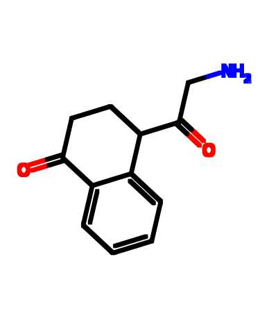 NCC(=O)C1CCC(=O)c2ccccc21